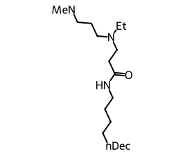 CCCCCCCCCCCCCCNC(=O)CCN(CC)CCCNC